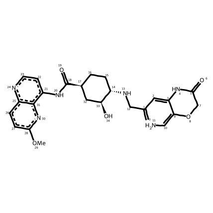 C=C(/C=C1/NC(=O)CO/C1=C/N)CN[C@H]1CC[C@H](C(=O)Nc2ccnc3ccc(OC)nc23)C[C@@H]1O